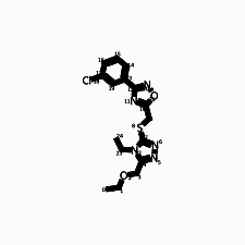 CCOCc1nnc(SCc2nc(-c3cccc(Cl)c3)no2)n1CC